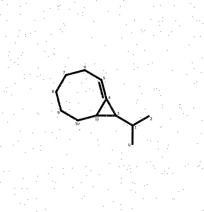 CC(C)C1C2=CCCCCCC21